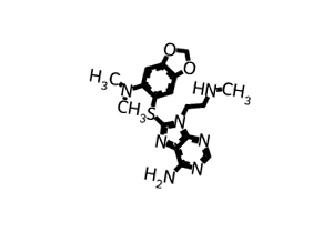 CNCCn1c(Sc2cc3c(cc2N(C)C)OCO3)nc2c(N)ncnc21